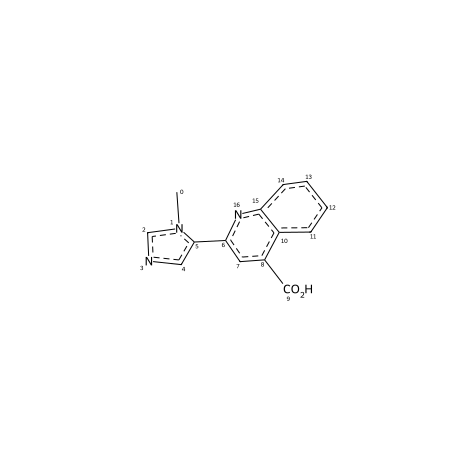 Cn1cncc1-c1cc(C(=O)O)c2ccccc2n1